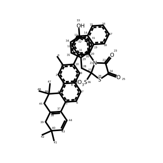 Cc1cc2c3c(ccc2cc1-c1ccc2ccccc2c1N1C(=O)C(=O)SC1(Cc1ccc(O)cc1)S(=O)(=O)O)C1=C(CC(C)(C)C=C1)CC3(C)C